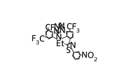 CCc1sc(-c2cccc([N+](=O)[O-])c2)nc1-c1ccc(C(F)(F)F)cc1CN(Cc1cc(C(F)(F)F)cc(C(F)(F)F)c1)c1nnn(C)n1